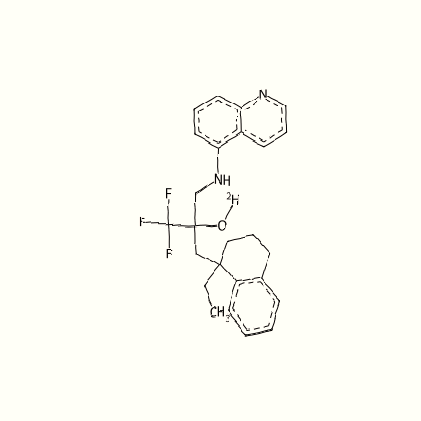 [2H]OC(CNc1cccc2ncccc12)(CC1(CC)CCCc2ccccc21)C(F)(F)F